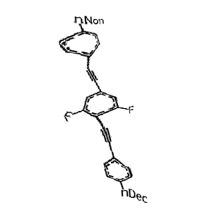 CCCCCCCCCCc1ccc(C#Cc2c(F)cc(C#Cc3ccc(CCCCCCCCC)cc3)cc2F)cc1